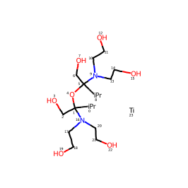 CC(C)C(CO)(OC(CO)(C(C)C)N(CCO)CCO)N(CCO)CCO.[Ti]